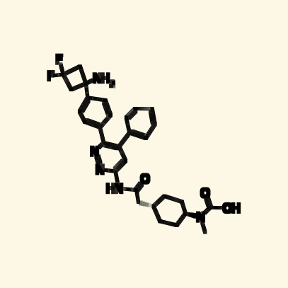 CN(C(=O)O)[C@H]1CC[C@H](CC(=O)Nc2cc(-c3ccccc3)c(-c3ccc(C4(N)CC(F)(F)C4)cc3)nn2)CC1